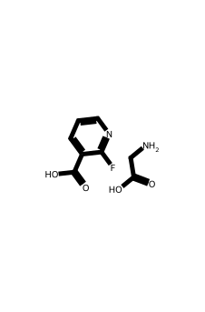 NCC(=O)O.O=C(O)c1cccnc1F